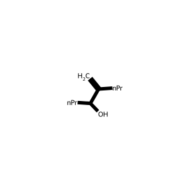 C=C(CCC)C(O)CCC